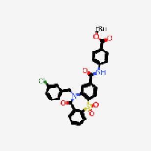 CC(C)(C)OC(=O)c1ccc(NC(=O)c2ccc3c(c2)N(Cc2cccc(Cl)c2)C(=O)c2ccccc2S3(=O)=O)cc1